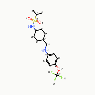 CC(C)S(=O)(=O)NC1CCC(CNc2ccc(OC(F)(F)F)cc2)CC1